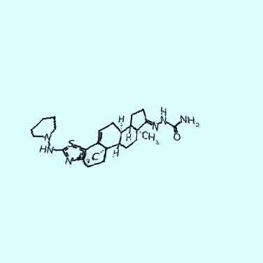 C[C@]12CCc3nc(NN4CCCCC4)sc3C1=CC[C@@H]1[C@@H]2CC[C@]2(C)/C(=N/NC(N)=O)CC[C@@H]12